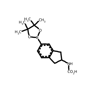 CC1(C)OB(c2ccc3c(c2)CC(NC(=O)O)C3)OC1(C)C